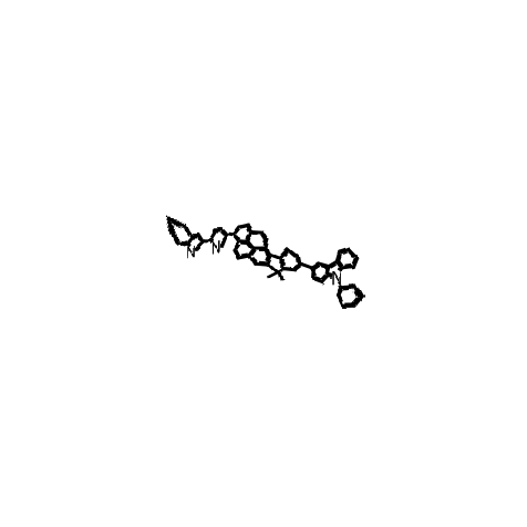 CC1(C)c2cc(-c3ccc4c(c3)c3ccccc3n4-c3ccccc3)ccc2-c2c1cc1ccc3c(-c4ccc(-c5cnc6ccccc6c5)nc4)ccc4ccc2c1c43